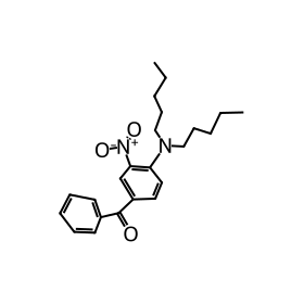 CCCCCN(CCCCC)c1ccc(C(=O)c2ccccc2)cc1[N+](=O)[O-]